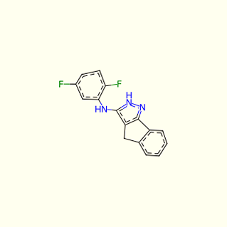 Fc1ccc(F)c(Nc2[nH]nc3c2Cc2ccccc2-3)c1